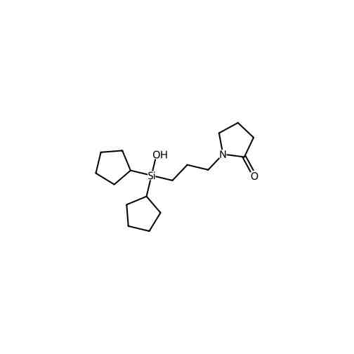 O=C1CCCN1CCC[Si](O)(C1CCCC1)C1CCCC1